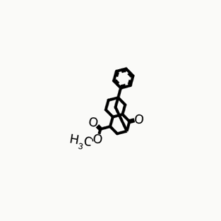 COC(=O)C1CC2CC3(c4ccccc4)CCC1C(C3)C2=O